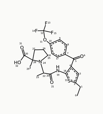 CCc1cc(C(=O)c2ccc(OC(F)(F)F)cc2)c(NC(=O)C(C)N2CCCC2(I)C(=O)O)s1